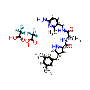 Cc1nc(N)ccc1CNC(=O)[C@H](C)NC(=O)[C@H]1C[C@H](Cc2cc(C(F)(F)F)cc(C(F)(F)F)c2)CN1.O=C(O)C(F)(F)F.O=C(O)C(F)(F)F